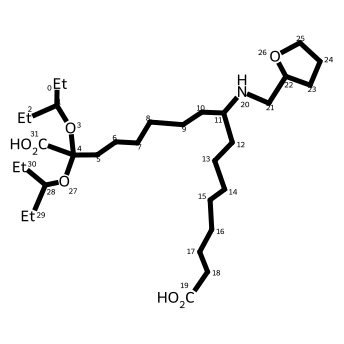 CCC(CC)OC(CCCCCCC(CCCCCCCC(=O)O)NCC1CCCO1)(OC(CC)CC)C(=O)O